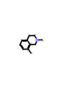 Cc1cccc2c1CN(C)CC2